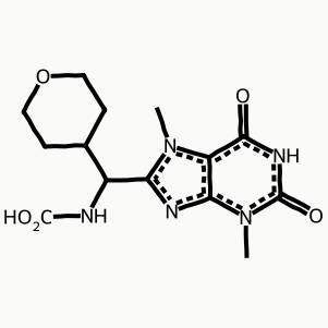 Cn1c(C(NC(=O)O)C2CCOCC2)nc2c1c(=O)[nH]c(=O)n2C